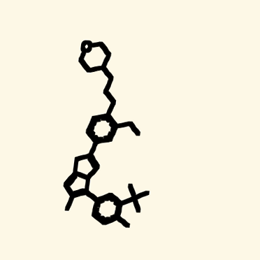 CCc1cc(C2=CC3C(=CC(C)=C3c3ccc(C)c(C(C)(C)C)c3)C2)ccc1CCCC1CCOCC1